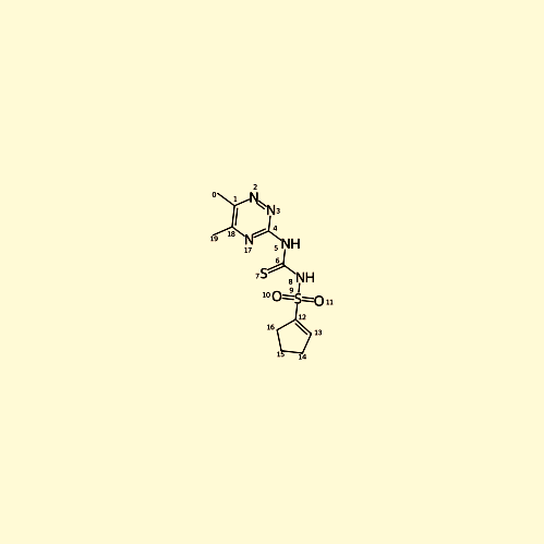 Cc1nnc(NC(=S)NS(=O)(=O)C2=CCCC2)nc1C